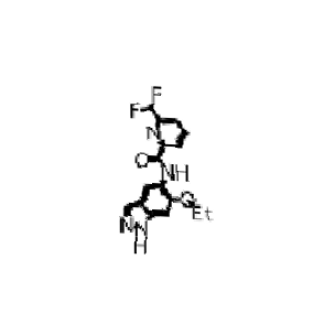 CCOc1cc2[nH]ncc2cc1NC(=O)c1cccc(C(F)F)n1